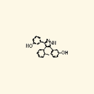 Cc1ccccc1-c1c(-c2cccc(O)c2)n[nH]c1-c1cccc(O)c1